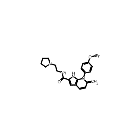 C=C1C=Cc2cc(C(=O)NCCN3CCCC3)[nH]c2N1c1ccc(OC(C)C)cc1